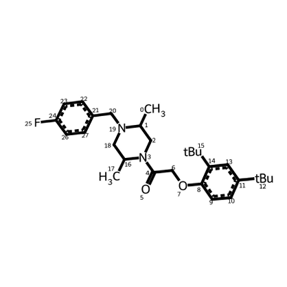 CC1CN(C(=O)COc2ccc(C(C)(C)C)cc2C(C)(C)C)C(C)CN1Cc1ccc(F)cc1